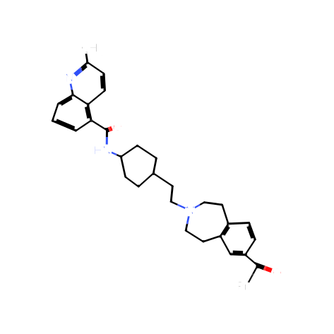 Cc1ccc2c(C(=O)NC3CCC(CCN4CCc5ccc(C(=O)C(C)C)cc5CC4)CC3)cccc2n1